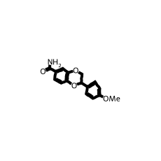 COc1ccc(C2COc3cc(C(N)=O)ccc3O2)cc1